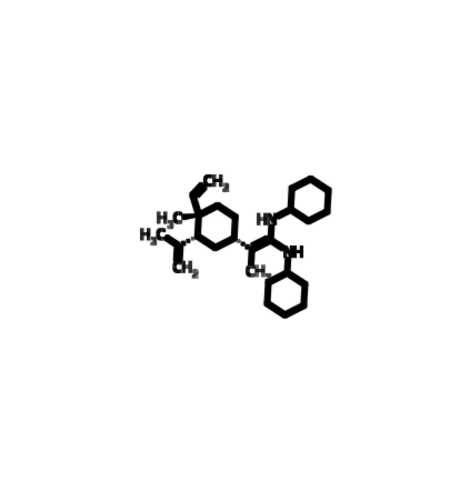 C=C[C@]1(C)CC[C@H](C(C)=C(NC2CCCCC2)NC2CCCCC2)C[C@@H]1C(=C)C